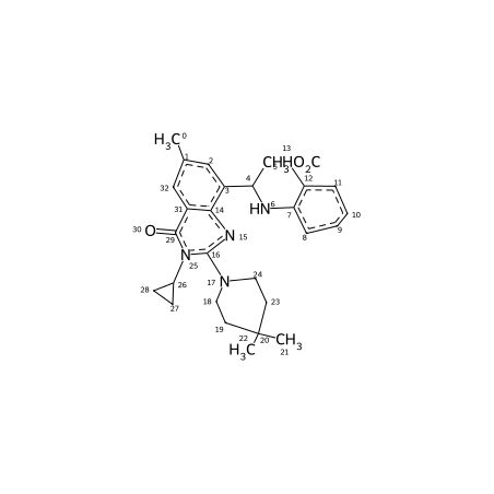 Cc1cc(C(C)Nc2ccccc2C(=O)O)c2nc(N3CCC(C)(C)CC3)n(C3CC3)c(=O)c2c1